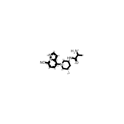 CC(N)C(=O)N[C@@H]1C[C@H](C)CN(c2ccc(C#N)n3nccc23)C1